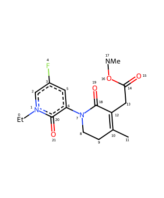 CCn1cc(F)cc(N2CCC(C)=C(CC(=O)ONC)C2=O)c1=O